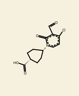 O=Cc1c(Cl)ccn([C@H]2CC[C@@H](C(=O)O)CC2)c1=O